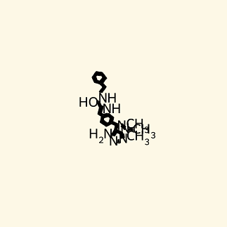 CC(C)(C)n1nc(-c2ccc3cc(C(O)NCCc4ccccc4)[nH]c3c2)c2c(N)ncnc21